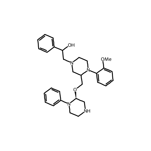 COc1ccccc1N1CCN(CC(O)c2ccccc2)CC1CO[C@H]1CNCCN1c1ccccc1